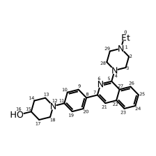 CCN1CCN(c2nc(-c3ccc(N4CCC(O)CC4)cc3)cc3ccccc23)CC1